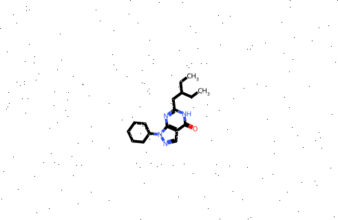 CCC(CC)Cc1nc2c(cnn2C2CCCCC2)c(=O)[nH]1